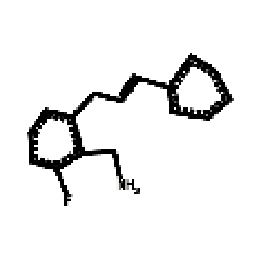 NCc1c(F)cccc1C/C=C/c1ccccc1